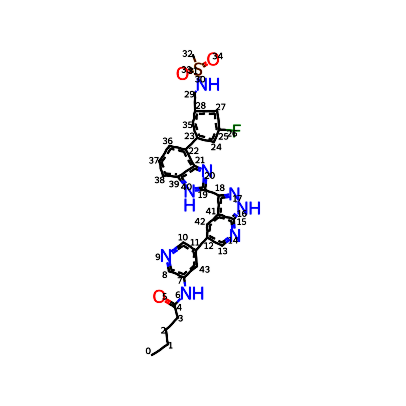 CCCCC(=O)Nc1cncc(-c2cnc3[nH]nc(-c4nc5c(-c6cc(F)cc(CNS(C)(=O)=O)c6)cccc5[nH]4)c3c2)c1